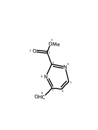 COC(=O)c1nccc(C=O)n1